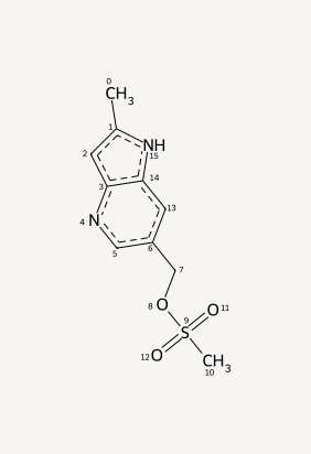 Cc1cc2ncc(COS(C)(=O)=O)cc2[nH]1